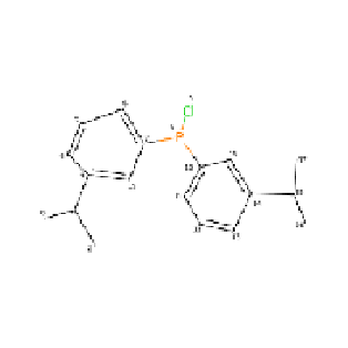 CC(C)c1cccc(P(Cl)c2cccc(C(C)C)c2)c1